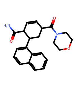 NC(=O)C1C=CC(C(=O)N2CCOCC2)CC1c1cccc2ccccc12